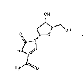 NC(=O)c1cn([C@H]2C[C@H](O)[C@@H](CO)O2)c(=O)[nH]1